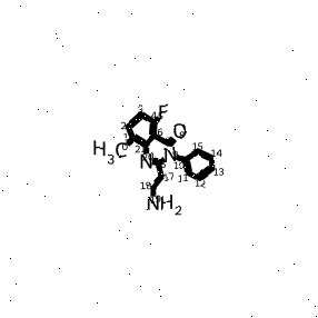 Cc1ccc(F)c2c(=O)n(-c3ccccc3)c(CCN)nc12